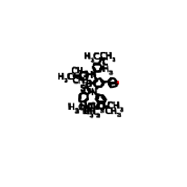 CC(C)(C)c1ccc(N2c3ccc(C(C)(C)C)cc3B3c4sc5ccc(C(C)(C)C)cc5c4N(c4ccc5c(c4)C(C)(C)CC5(C)C)c4cc(C56CCC(CC5)CC6)cc2c43)cc1